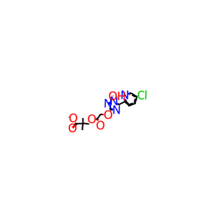 COC(=O)C(C)(C)COC(=O)COc1nc(-c2ccc(Cl)cn2)n(O)n1